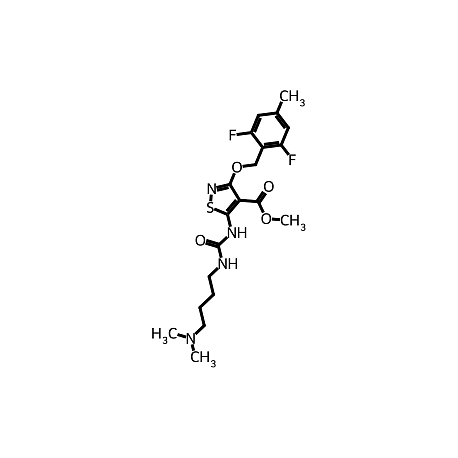 COC(=O)c1c(OCc2c(F)cc(C)cc2F)nsc1NC(=O)NCCCCN(C)C